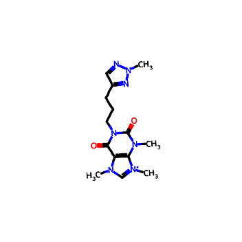 Cn1ncc(CCCn2c(=O)c3c(n(C)c2=O)[n+](C)cn3C)n1